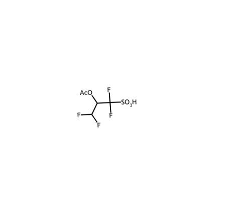 CC(=O)OC(C(F)F)C(F)(F)S(=O)(=O)O